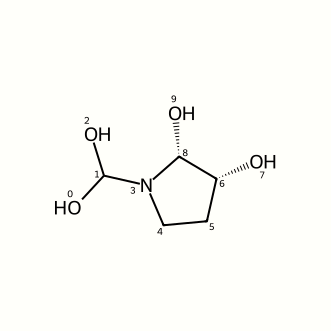 OC(O)N1CC[C@@H](O)[C@H]1O